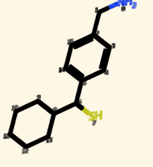 NCc1ccc(C(S)C2CCCCC2)cc1